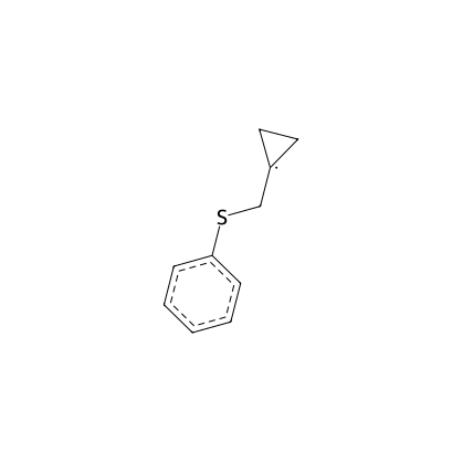 c1ccc(SC[C]2CC2)cc1